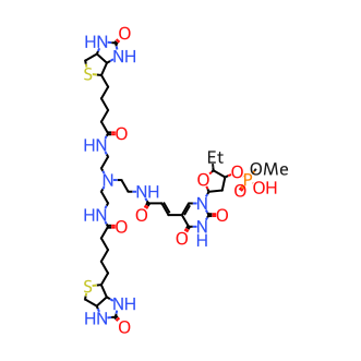 CCC1OC(n2cc(/C=C/C(=O)NCCN(CCNC(=O)CCCCC3SCC4NC(=O)NC43)CCNC(=O)CCCCC3SCC4NC(=O)NC43)c(=O)[nH]c2=O)CC1OP(=O)(O)OC